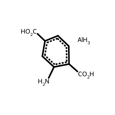 Nc1cc(C(=O)O)ccc1C(=O)O.[AlH3]